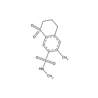 CNS(=O)(=O)c1cc2c(cc1C)CCCS2(=O)=O